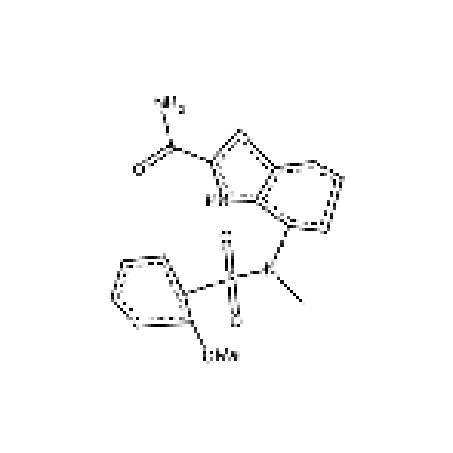 COc1ccccc1S(=O)(=O)N(C)c1cccc2cc(C(N)=O)[nH]c12